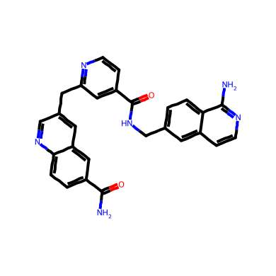 NC(=O)c1ccc2ncc(Cc3cc(C(=O)NCc4ccc5c(N)nccc5c4)ccn3)cc2c1